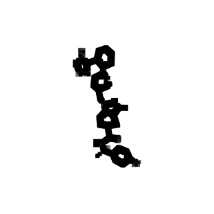 Cc1nn(Cc2ccc(-c3ccccc3-c3nnn[nH]3)cc2)c2ccc(C(=O)N[C@@H](C)c3ccc(Br)cc3)cc12